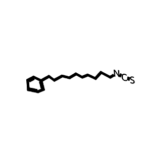 S=C=NCCCCCCCCCCc1ccccc1